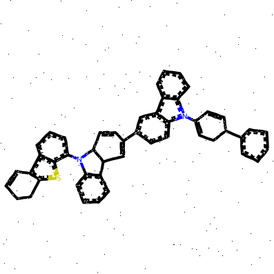 C1=Cc2c(sc3c(N4c5ccccc5C5C=C(c6ccc7c(c6)c6ccccc6n7C6=CCC(c7ccccc7)C=C6)C=CC54)cccc23)CC1